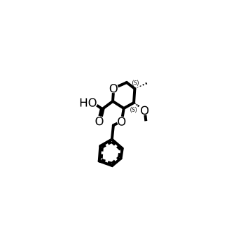 CO[C@@H]1C(OCc2ccccc2)C(C(=O)O)OC[C@@H]1C